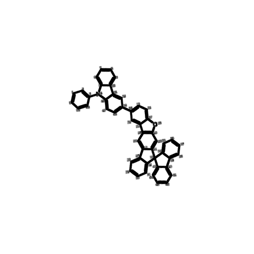 c1ccc(-n2c3ccccc3c3cc(-c4ccc5oc6cc7c(cc6c5c4)-c4ccccc4C74c5ccccc5-c5ccccc54)ccc32)cc1